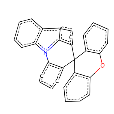 c1ccc2c(c1)Oc1ccccc1C21c2ccccc2-n2c3ccccc3c3cccc1c32